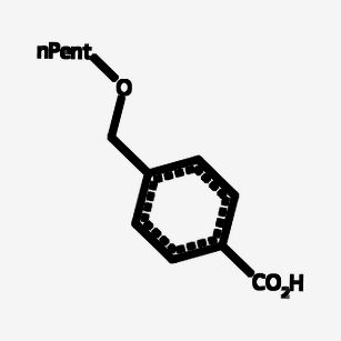 CCCCCOCc1ccc(C(=O)O)cc1